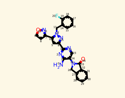 Nc1nc(-c2cc(-c3ccon3)n(Cc3ccccc3F)n2)ncc1N1Cc2ccccc2C1=O